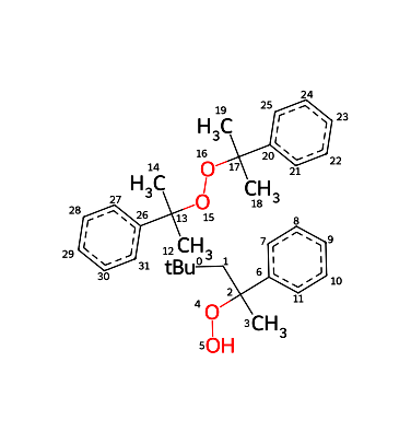 CC(C)(C)CC(C)(OO)c1ccccc1.CC(C)(OOC(C)(C)c1ccccc1)c1ccccc1